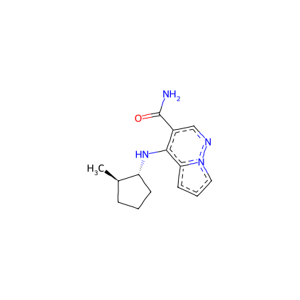 C[C@@H]1CCC[C@H]1Nc1c(C(N)=O)cnn2cccc12